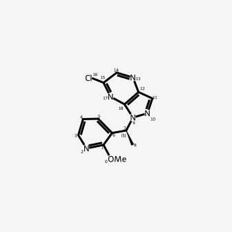 COc1ncccc1[C@H](C)n1ncc2ncc(Cl)nc21